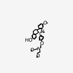 COCCN(CCOC)CCOc1ccc(CN(C)c2cc(OC)ccc2C2CCc3cc(O)ccc3C2)cc1